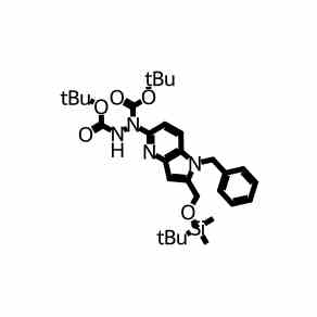 CC(C)(C)OC(=O)NN(C(=O)OC(C)(C)C)c1ccc2c(cc(CO[Si](C)(C)C(C)(C)C)n2Cc2ccccc2)n1